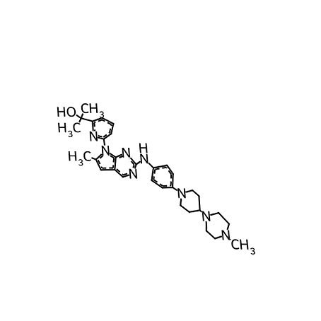 Cc1cc2cnc(Nc3ccc(N4CCC(N5CCN(C)CC5)CC4)cc3)nc2n1-c1cccc(C(C)(C)O)n1